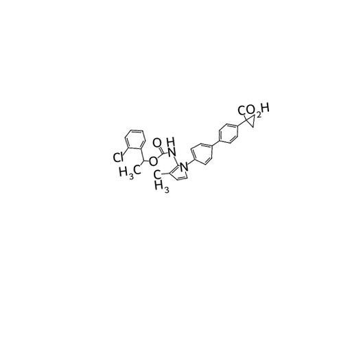 Cc1ccn(-c2ccc(-c3ccc(C4(C(=O)O)CC4)cc3)cc2)c1NC(=O)OC(C)c1ccccc1Cl